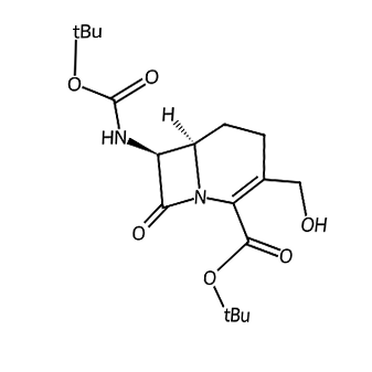 CC(C)(C)OC(=O)N[C@@H]1C(=O)N2C(C(=O)OC(C)(C)C)=C(CO)CC[C@H]12